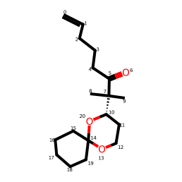 C=CCCCC(=O)C(C)(C)[C@@H]1CCOC2(CCCCC2)O1